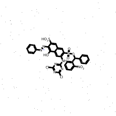 O=[N+]([O-])c1ccccc1C(OS(=O)(=O)c1cc2cc(S(=O)(=O)O)c(/N=N/c3ccccc3)c(O)c2cc1Nc1nc(Cl)nc(Cl)n1)c1ccccc1